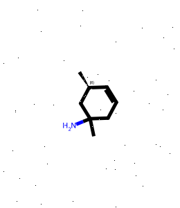 C[C@H]1C=CCC(C)(N)C1